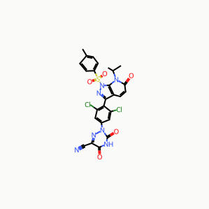 Cc1ccc(S(=O)(=O)n2nc(-c3c(Cl)cc(-n4nc(C#N)c(=O)[nH]c4=O)cc3Cl)c3ccc(=O)n(C(C)C)c32)cc1